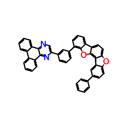 c1ccc(-c2ccc3oc4ccc5c6cccc(-c7cccc(-c8cnc9c%10ccccc%10c%10ccccc%10c9n8)c7)c6oc5c4c3c2)cc1